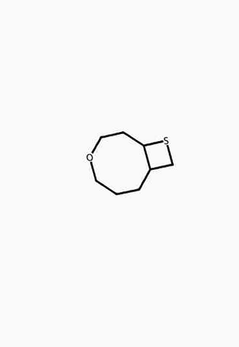 C1COCCC2SCC2C1